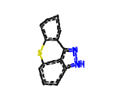 c1ccc2c(c1)Sc1cccc3[nH]nc-2c13